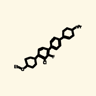 CCCC1CC=C(c2ccc(-c3ccc(C4CCC(OCC)CC4)c(Cl)c3F)cc2)CC1